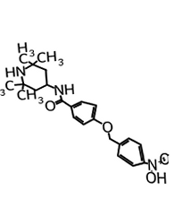 CC1(C)CC(NC(=O)c2ccc(OCc3ccc([N+](=O)O)cc3)cc2)CC(C)(C)N1